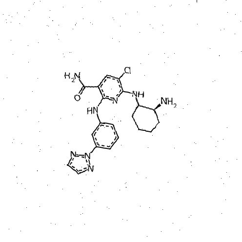 NC(=O)c1cc(Cl)c(NC2CCCC[C@@H]2N)nc1Nc1cccc(-n2nccn2)c1